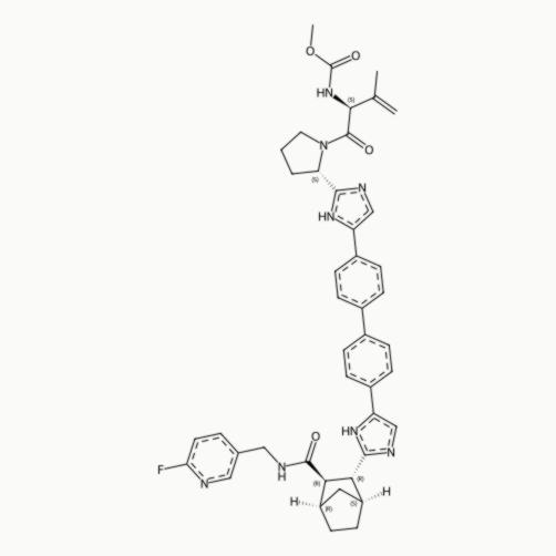 C=C(C)[C@H](NC(=O)OC)C(=O)N1CCC[C@H]1c1ncc(-c2ccc(-c3ccc(-c4cnc([C@@H]5[C@H]6CC[C@H](C6)[C@H]5C(=O)NCc5ccc(F)nc5)[nH]4)cc3)cc2)[nH]1